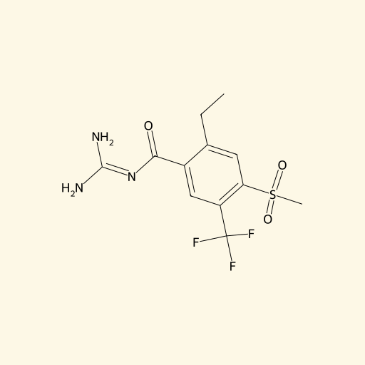 CCc1cc(S(C)(=O)=O)c(C(F)(F)F)cc1C(=O)N=C(N)N